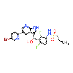 CCCS(=O)(=O)Nc1ccc(F)c(C(O)c2c[nH]c3ncc(-c4ccc(Br)cn4)cc23)c1F